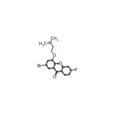 CN(C)CCOc1cc(Br)cc2c(=O)c3ccc(F)cc3oc12